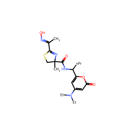 CCCC(NC(=O)C1(C)CSC(/C(C)=N/O)=N1)c1cc(N(CC)CC)cc(=O)o1